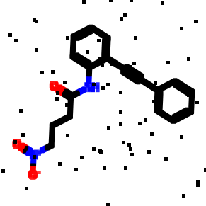 O=C(CCC[N+](=O)[O-])Nc1ccccc1C#Cc1ccccc1